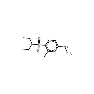 CCN(CC)S(=O)(=O)c1ccc(NN)nc1C